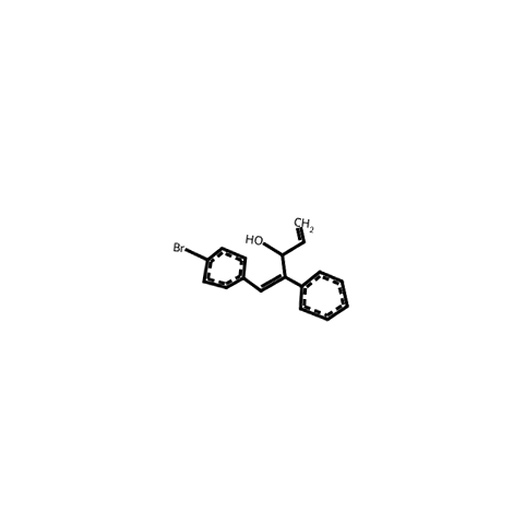 C=CC(O)/C(=C\c1ccc(Br)cc1)c1ccccc1